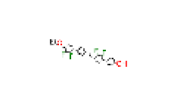 CCOCc1ccc(-c2ccc(CCc3ccc(-c4ccc(O)cc4)c(F)c3F)cc2)c(F)c1F